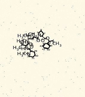 CCC(OC(=O)[C@@H]1CCCN1C(=O)/C(C)=C/[C@H](C(C)C)N(C)C(=O)[C@@H](NC(=O)C1CCCCN1C)C(C)C)c1ccccc1